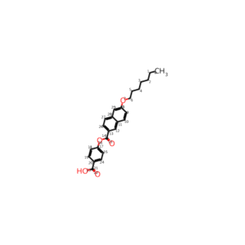 CCCCCCCOc1ccc2cc(C(=O)Oc3ccc(C(=O)O)cc3)ccc2c1